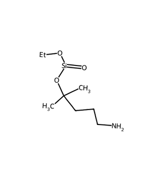 CCO[Si](=O)OC(C)(C)CCCN